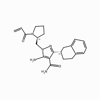 C=CC(=O)N1CCC[C@H]1Cn1nc([C@H]2CCc3ccccc3C2)c(C(N)=O)c1N